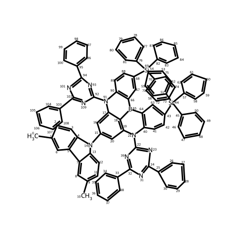 Cc1ccc2c(c1)c1cc(C)ccc1n2-c1cc2c3c(c1)N(c1nc(-c4ccccc4)nc(-c4ccccc4)n1)c1ccc([Si](c4ccccc4)(c4ccccc4)c4ccccc4)cc1B3c1cc([Si](c3ccccc3)(c3ccccc3)c3ccccc3)ccc1N2c1nc(-c2ccccc2)nc(-c2ccccc2)n1